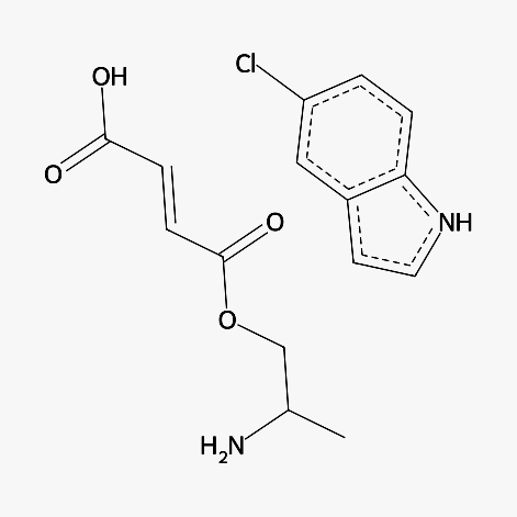 CC(N)COC(=O)/C=C/C(=O)O.Clc1ccc2[nH]ccc2c1